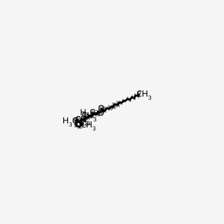 CCCCCCCCCCCCCCCCCCC(=O)OC/C=C(C)/C=C/C=C(C)/C=C/C1=C(C)CCCC1(C)C